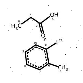 CCC(=O)O.Cc1ccccc1I